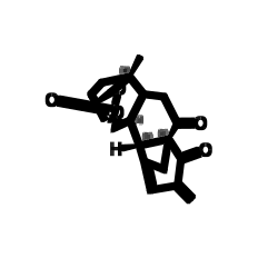 C=C1C=C2C[C@@]3(C(=O)CC4[C@@]5(C)CCC[C@@]4(COS(=O)OC5)[C@@H]23)C1=O